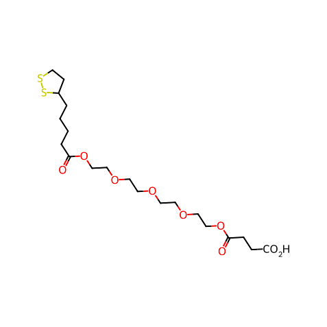 O=C(O)CCC(=O)OCCOCCOCCOCCOC(=O)CCCCC1CCSS1